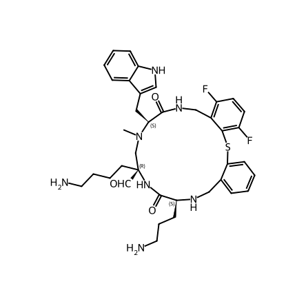 CN1C[C@@](C=O)(CCCCN)NC(=O)[C@H](CCCN)NCc2ccccc2Sc2c(F)ccc(F)c2CNC(=O)[C@@H]1Cc1c[nH]c2ccccc12